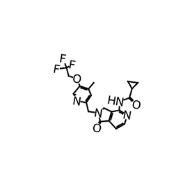 Cc1cc(CN2Cc3c(ccnc3NC(=O)C3CC3)C2=O)ncc1OCC(F)(F)F